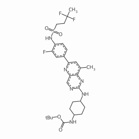 Cc1cc(-c2ccc(NS(=O)(=O)CCC(C)(F)F)c(F)c2)nc2cnc(NC3CCC(NC(=O)OC(C)(C)C)CC3)nc12